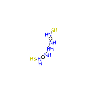 SCCNc1ccc(NCCCNCCCNc2ccc(NCCS)cc2)cc1